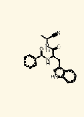 CC(C#N)NC(=O)C(Cc1c[nH]c2ccccc12)NC(=O)c1ccccc1